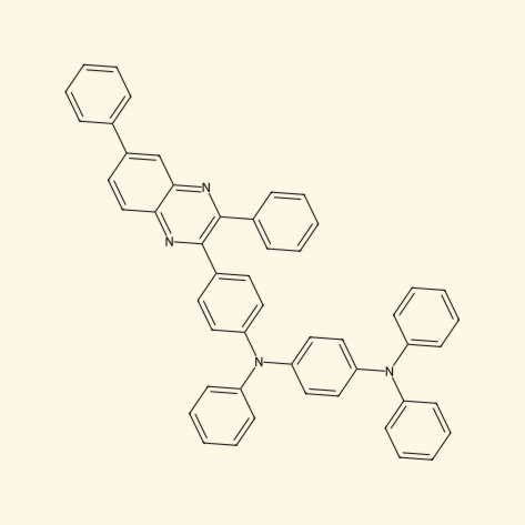 c1ccc(-c2ccc3nc(-c4ccc(N(c5ccccc5)c5ccc(N(c6ccccc6)c6ccccc6)cc5)cc4)c(-c4ccccc4)nc3c2)cc1